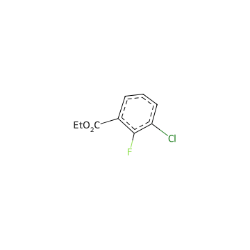 CCOC(=O)c1cccc(Cl)c1F